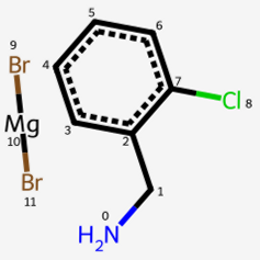 NCc1c[c]ccc1Cl.[Br][Mg][Br]